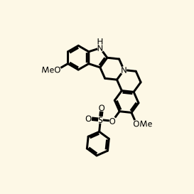 COc1ccc2[nH]c3c(c2c1)CC1c2cc(OS(=O)(=O)c4ccccc4)c(OC)cc2CCN1C3